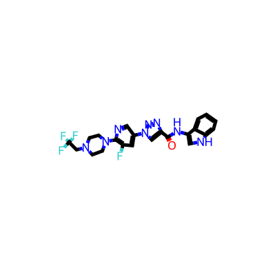 O=C(Nc1c[nH]c2ccccc12)c1cn(-c2cnc(N3CCN(CC(F)(F)F)CC3)c(F)c2)nn1